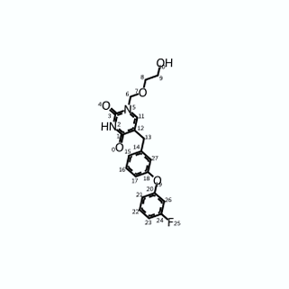 O=c1[nH]c(=O)n(COCCO)cc1Cc1cccc(Oc2cccc(F)c2)c1